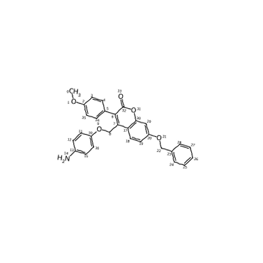 COc1ccc(-c2c(COc3ccc(N)cc3)c3ccc(OCc4ccccc4)cc3oc2=O)cc1